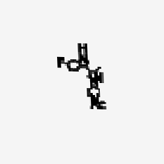 CC(=O)N1CCC(n2cc(-c3c[nH]c4cc(F)ccc34)c(C)n2)CC1